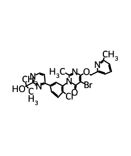 Cc1cccc(COc2nc(C)n(-c3cc(-c4ccnc(C(C)(C)O)n4)ccc3Cl)c(=O)c2Br)n1